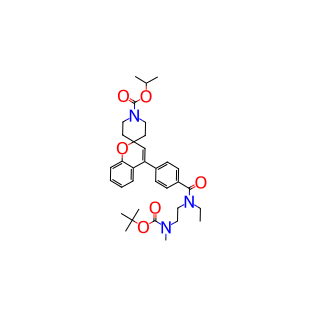 CCN(CCN(C)C(=O)OC(C)(C)C)C(=O)c1ccc(C2=CC3(CCN(C(=O)OC(C)C)CC3)Oc3ccccc32)cc1